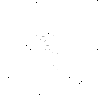 COc1cc(-c2ccc3cc(C(=O)NC4(C(=O)NC5(N)CC5)CCC(F)(F)CC4)oc3c2)ccc1CS(C)(=O)=O